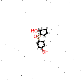 [O-][S+](c1ccc(O)cc1)c1ccccc1O